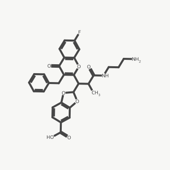 CC(C(=O)NCCCN)C(c1oc2cc(F)ccc2c(=O)c1Cc1ccccc1)C1Oc2ccc(C(=O)O)cc2O1